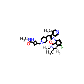 CNC(=O)C1CC(CN2CCC(Cc3cn(-c4ccc(F)cc4C(=O)N(C)C(C)C)c4cncc(C)c34)CC2)C1